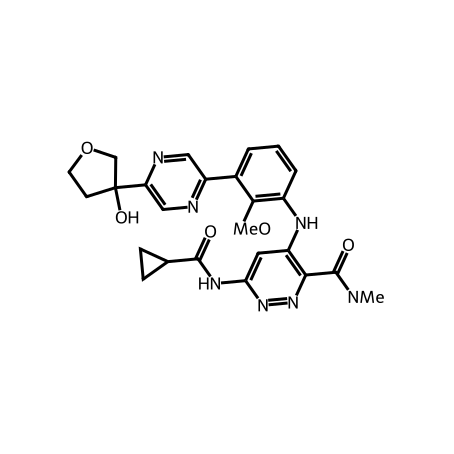 CNC(=O)c1nnc(NC(=O)C2CC2)cc1Nc1cccc(-c2cnc(C3(O)CCOC3)cn2)c1OC